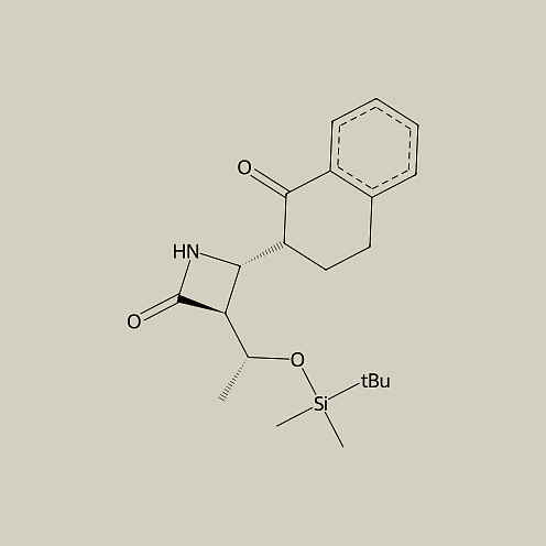 C[C@@H](O[Si](C)(C)C(C)(C)C)[C@H]1C(=O)N[C@@H]1C1CCc2ccccc2C1=O